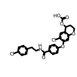 O=C(O)OC1CCOc2cc(Oc3ccc(C(=O)NCCc4ccc(Cl)cc4)cc3)c(Cl)cc21